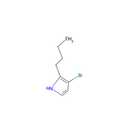 CCCCc1[nH]ccc1Br